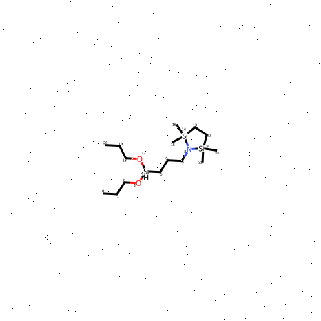 CCCO[SiH](CCCN1[Si](C)(C)CC[Si]1(C)C)OCCC